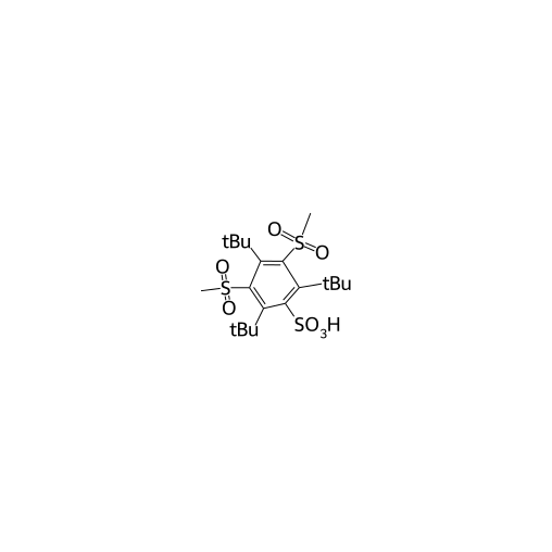 CC(C)(C)c1c(S(C)(=O)=O)c(C(C)(C)C)c(S(=O)(=O)O)c(C(C)(C)C)c1S(C)(=O)=O